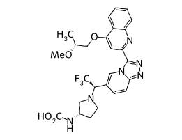 CO[C@H](C)COc1cc(-c2nnc3ccc([C@@H](N4CC[C@H](NC(=O)O)C4)C(F)(F)F)cn23)nc2ccccc12